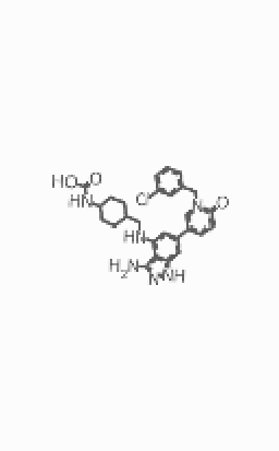 Nc1n[nH]c2cc(-c3ccc(=O)n(Cc4cccc(Cl)c4)c3)cc(NCC3CCC(NC(=O)O)CC3)c12